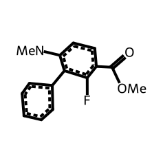 CNc1ccc(C(=O)OC)c(F)c1-c1ccccc1